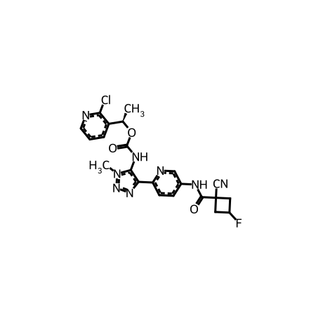 C[C@@H](OC(=O)Nc1c(-c2ccc(NC(=O)C3(C#N)CC(F)C3)cn2)nnn1C)c1cccnc1Cl